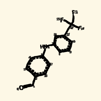 O=Cc1ccc(Nc2cccc(C(F)(F)F)c2)cc1